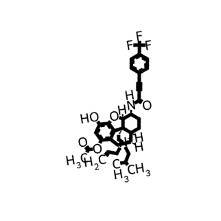 C=CC[N+]1(CC(C)C)CC[C@]23c4c5c(OC(C)=O)cc(O)c4O[C@H]2[C@@H](NC(=O)C#Cc2ccc(C(F)(F)F)cc2)CC[C@H]3[C@H]1C5